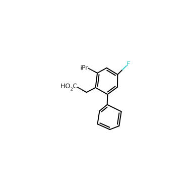 CC(C)c1cc(F)cc(-c2ccccc2)c1CC(=O)O